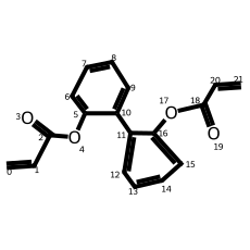 C=CC(=O)Oc1ccccc1-c1ccccc1OC(=O)C=C